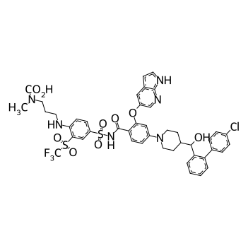 CN(CCCNc1ccc(S(=O)(=O)NC(=O)c2ccc(N3CCC(C(O)c4ccccc4-c4ccc(Cl)cc4)CC3)cc2Oc2cnc3[nH]ccc3c2)cc1S(=O)(=O)C(F)(F)F)C(=O)O